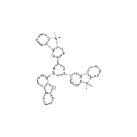 CC1(C)c2ccccc2-c2cc(-c3cc(-c4ccc5c(c4)-c4ccccc4C5(C)C)cc(-c4cccc5c4oc4ccccc45)c3)ccc21